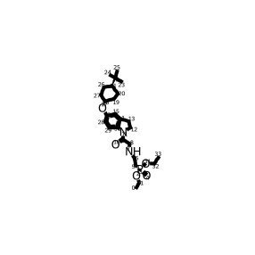 CCOP(=O)(CCNCC(=O)N1CCc2cc(O[C@H]3CC[C@H](C(C)(C)C)CC3)ccc21)OCC